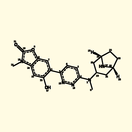 CN(c1ccc(-c2cc3oc(=O)n(C)c3cc2O)nn1)C1C[C@H]2CC[C@@H](C1)N2